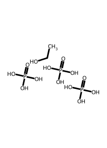 CCO.O=P(O)(O)O.O=P(O)(O)O.O=P(O)(O)O